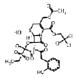 CCS(=O)(=O)C(Cl)(O[C@]1(NC(=O)Cc2ccccc2O)C(=O)N2C(C(=O)OCC(Cl)(Cl)Cl)=C(COC(C)=O)CS[C@@H]21)I=O.Cl